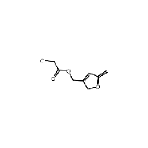 C=C1C=C(COC(=O)CCl)CO1